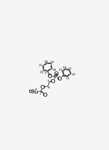 CC(C)(C)C(=O)OCCOP(=O)(Oc1ccccc1)Oc1ccccc1